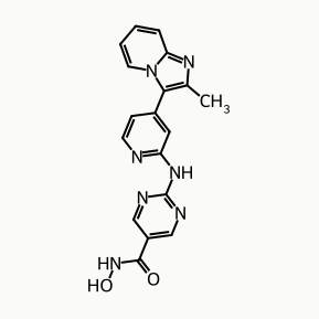 Cc1nc2ccccn2c1-c1ccnc(Nc2ncc(C(=O)NO)cn2)c1